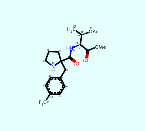 COC(=O)[C@@H](NC(=O)C1(Cc2ccc(C(F)(F)F)cc2)CCCN1)[C@@H](C)OC(C)=O